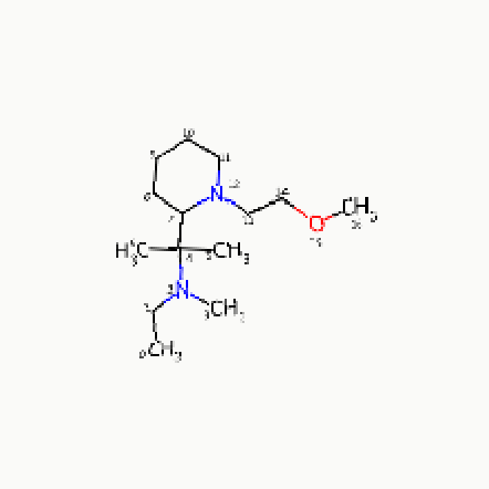 CCN(C)C(C)(C)C1CCCCN1CCOC